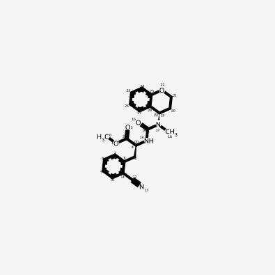 COC(=O)[C@H](Cc1ccccc1C#N)NC(=O)N(C)[C@H]1CCOc2ccccc21